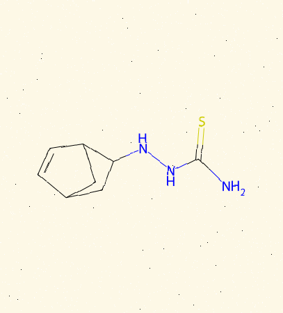 NC(=S)NNC1CC2C=CC1C2